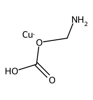 NCOC(=O)O.[Cu]